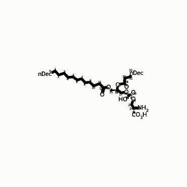 CCCCCCCCCCCCCCCCCCCCCC(=O)OC[C@H](COP(=O)(O)OC[C@H](N)C(=O)O)OC(=O)CCCCCCCCCCCC